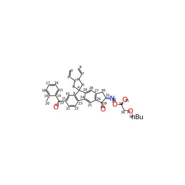 C=CCCC1(CCC=C)c2cc(C(=O)c3ccccc3C)ccc2-c2cc3c(cc21)C/C(=N/OC(=O)COCCCC)C3=O